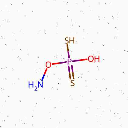 NOP(O)(=S)S